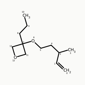 C=CC(C)CCOC1(CCC)COC1